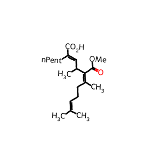 CCCCC/C(=C\C(C)C(C(=O)OC)=C(C)CCC=C(C)C)C(=O)O